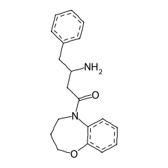 NC(CC(=O)N1CCCOc2ccccc21)Cc1ccccc1